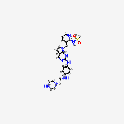 CN(c1ncccc1Cn1ccc2cnc(Nc3ccc(NCCN4CCNCC4)cc3)nc21)S(C)(=O)=O